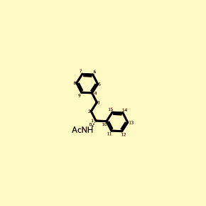 CC(=O)N[C@H](CCc1ccccc1)c1ccccc1